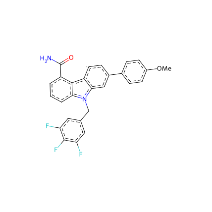 COc1ccc(-c2c[c]c3c4c(C(N)=O)cccc4n(Cc4cc(F)c(F)c(F)c4)c3c2)cc1